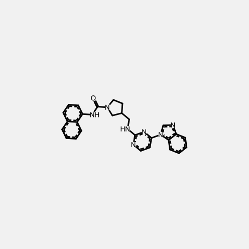 O=C(Nc1cccc2ccccc12)N1CCC(CNc2nccc(-n3cnc4ccccc43)n2)C1